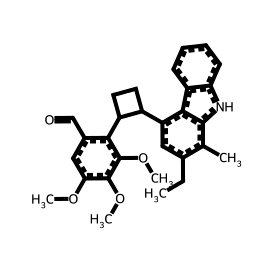 CCc1cc(C2CCC2c2c(C=O)cc(OC)c(OC)c2OC)c2c([nH]c3ccccc32)c1C